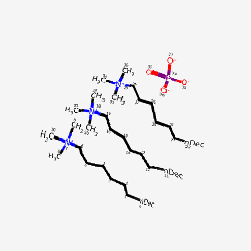 CCCCCCCCCCCCCCCC[N+](C)(C)C.CCCCCCCCCCCCCCCC[N+](C)(C)C.CCCCCCCCCCCCCCCC[N+](C)(C)C.O=P([O-])([O-])[O-]